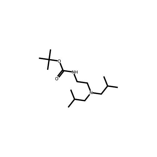 CC(C)CN(CCNC(=O)OC(C)(C)C)CC(C)C